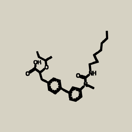 CCCCCCCNC(=O)N(C)c1cccc(-c2ccc(CC(OC(C)CC)C(=O)O)cc2)c1